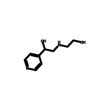 OCCNCC(O)c1ccncc1